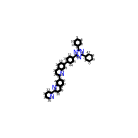 C1=CC(c2nc(-c3ccccc3)nc(-c3ccc(-c4ccc5ccc(-c6ccc7ccc(-c8ccccn8)nc7c6)nc5c4)cc3)n2)=CCC1